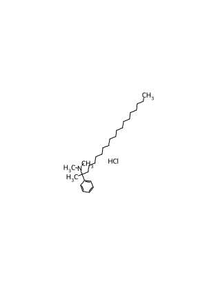 CCCCCCCCCCCCCCCCCCC(C)(c1ccccc1)N(C)C.Cl